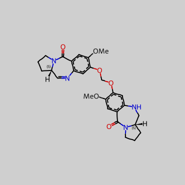 COc1cc2c(cc1OCOc1cc3c(cc1OC)C(=O)N1CCC[C@H]1CN3)N=C[C@@H]1CCCN1C2=O